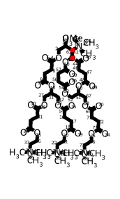 COC(COC(=O)CCC(=O)OC(COC(=O)CCC(=O)OCC[N+](C)(C)C)COC(=O)CCC(=O)OCC[N+](C)(C)C)COC(=O)CCC(=O)OC(COC(=O)CCC(=O)OCC[N+](C)(C)C)COC(=O)CCC(=O)OCC[N+](C)(C)C